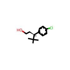 CC(C)(C)[C@@H](CCO)c1ccc(Cl)cc1